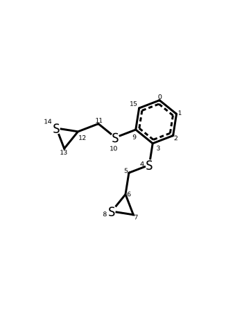 c1ccc(SCC2CS2)c(SCC2CS2)c1